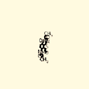 Cc1cc2c(nc3c4ccc5c(=O)n6c7cc(C)oc7nc6c6sc(c(=O)n23)c4c56)o1